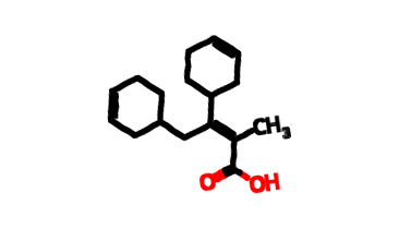 CC(C(=O)O)=C(CC1CC=CCC1)C1CC=CCC1